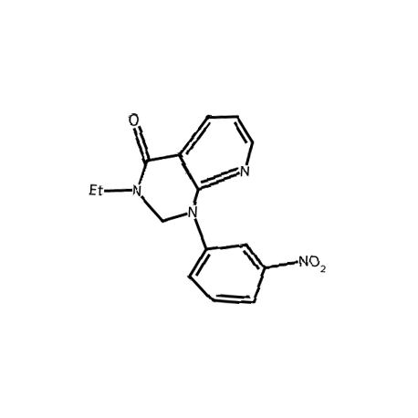 CCN1CN(c2cccc([N+](=O)[O-])c2)c2ncccc2C1=O